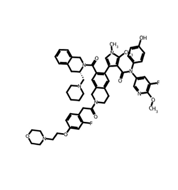 COc1ncc(N(C(=O)c2c(-c3cc4c(cc3C(=O)N3Cc5ccccc5C[C@H]3CN3CCCCC3)CN(C(=O)Cc3ccc(OCCN5CCOCC5)cc3F)CC4)cn(C)c2C)c2ccc(O)cc2)cc1F